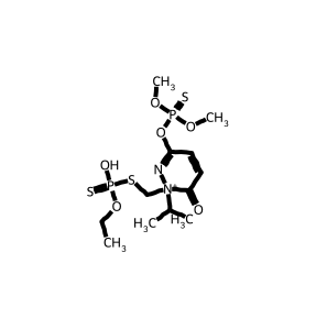 CCOP(O)(=S)SC[N+]1(C(C)C)N=C(OP(=S)(OC)OC)C=CC1=O